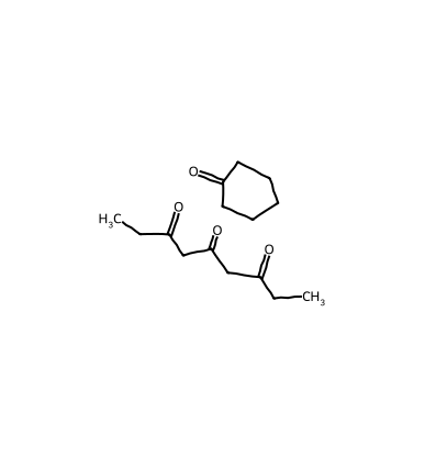 CCC(=O)CC(=O)CC(=O)CC.O=C1CCCCC1